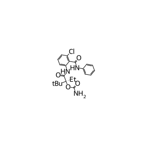 CC[C@@](OC(N)=O)(C(=O)Nc1cccc(Cl)c1C(=O)Nc1ccccc1)C(C)(C)C